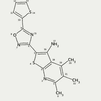 Cc1nc2sc(-c3noc(-c4cccs4)n3)c(N)c2c(C)c1C